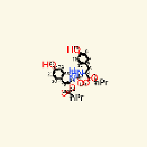 CCCOC(=O)C(Cc1ccc(O)cc1)NC(=O)NC(Cc1ccc(O)cc1)OC(=O)CCC